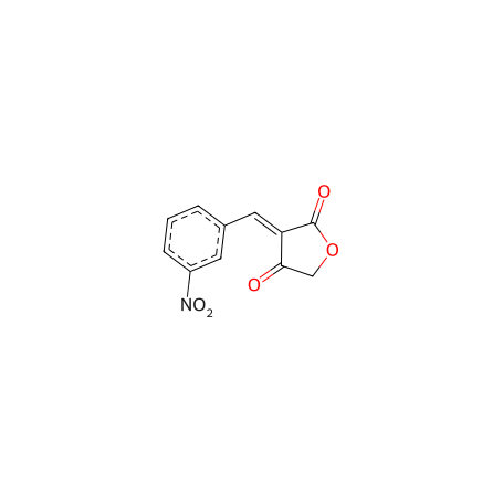 O=C1COC(=O)C1=Cc1cccc([N+](=O)[O-])c1